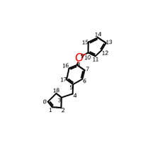 C1=CCC(Cc2ccc(Oc3ccccc3)cc2)C1